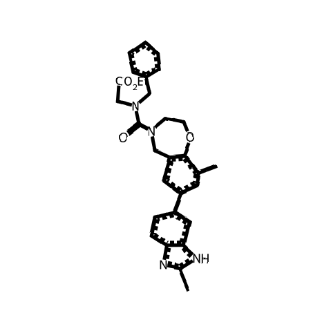 CCOC(=O)CN(Cc1ccccc1)C(=O)N1CCOc2c(C)cc(-c3ccc4nc(C)[nH]c4c3)cc2C1